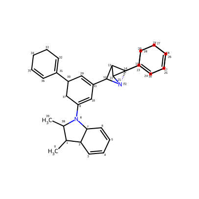 CC1C2C=CC=CC2N(C2=CC(C3C4C(C5=CCCCC5)[N@@]3C4C3CC=CCC3)=CC(C3=CCCC=C3)C2)C1C